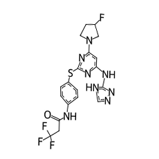 O=C(CC(F)(F)F)Nc1ccc(Sc2nc(Nc3nnc[nH]3)cc(N3CCC(F)C3)n2)cc1